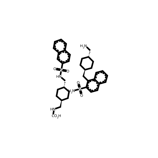 NC[C@H]1CC[C@H](Cc2c(S(N)(=O)=O)ccc3ccccc23)CC1.O=C(O)NC[C@H]1CC[C@H](CNS(=O)(=O)c2ccc3ccccc3c2)CC1